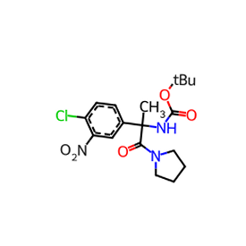 CC(C)(C)OC(=O)NC(C)(C(=O)N1CCCC1)c1ccc(Cl)c([N+](=O)[O-])c1